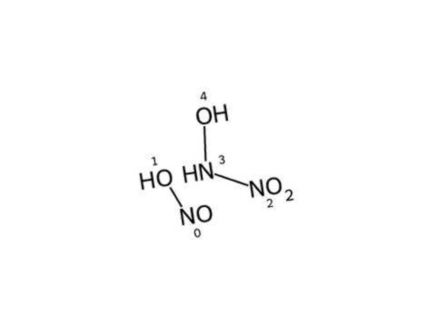 O=NO.O=[N+]([O-])NO